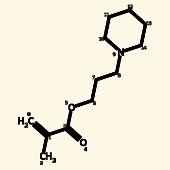 C=C(C)C(=O)OCCCN1CCCCC1